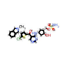 CN1Cc2ccccc2[C@H]1c1cc(C(=O)c2cncnc2N[C@@H]2C[C@H](COS(N)(=O)=O)[C@@H](O)C2)sc1Cl